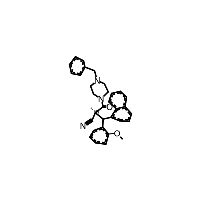 COc1ccccc1C(c1cccc2ccccc12)[C@@](C)(C#N)C(=O)N1CCN(Cc2ccccc2)CC1